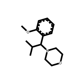 COc1ccccc1C(C(C)C)N1CCOCC1